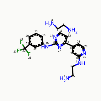 NCCN.NCCNc1cc(-c2ccnc(Nc3cccc(C(F)(F)F)c3)n2)ccn1